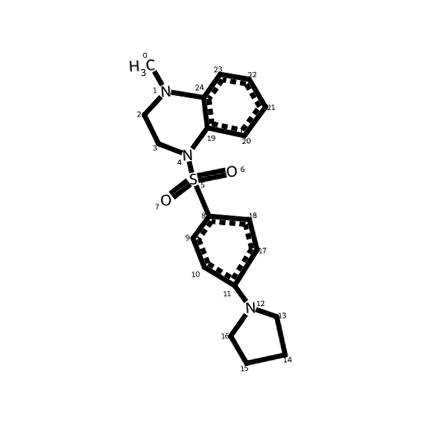 CN1CCN(S(=O)(=O)c2ccc(N3CCCC3)cc2)c2ccccc21